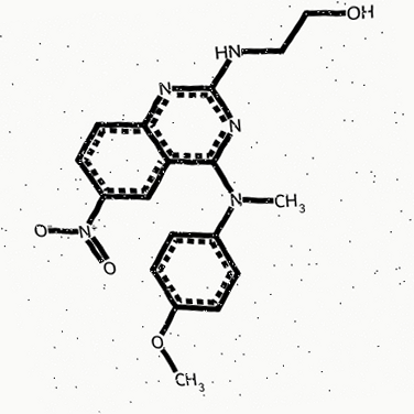 COc1ccc(N(C)c2nc(NCCO)nc3ccc([N+](=O)[O-])cc23)cc1